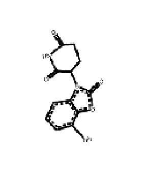 CCCc1cccc2c1oc(=O)n2C1CCC(=O)NC1=O